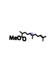 COC(=O)C(C)CC/C=C(\C)CCC=C(C)C